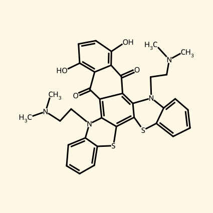 CN(C)CCn1c2ccccc2sc2c3sc4ccccc4n(CCN(C)C)c3c3c(=O)c4c(O)ccc(O)c4c(=O)c3c21